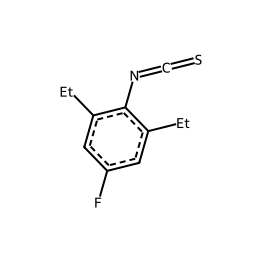 CCc1cc(F)cc(CC)c1N=C=S